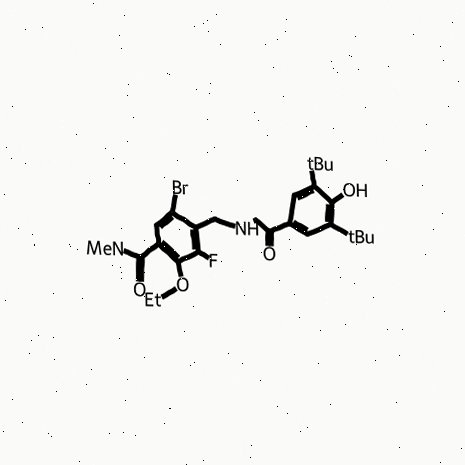 CCOc1c(C(=O)NC)cc(Br)c(CNCC(=O)c2cc(C(C)(C)C)c(O)c(C(C)(C)C)c2)c1F